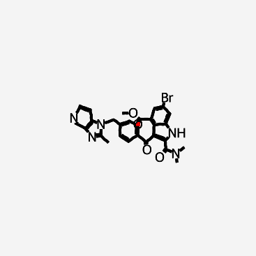 COC(=O)c1cc(Br)cc2[nH]c(C(=O)N(C)C)c(C(=O)c3ccc(Cn4c(C)nc5cnccc54)cc3)c12